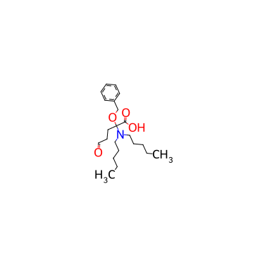 CCCCCN(CCCCC)C(CCC=O)(OCc1ccccc1)C(=O)O